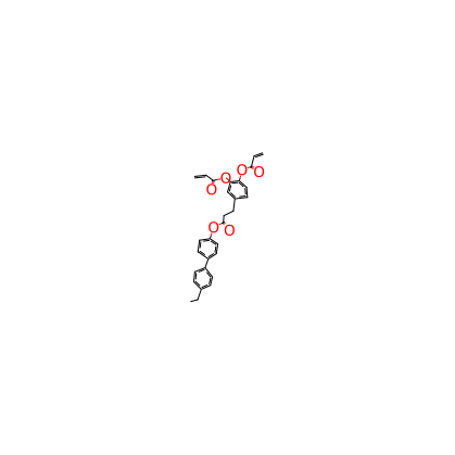 C=CC(=O)Oc1ccc(CCC(=O)Oc2ccc(-c3ccc(CC)cc3)cc2)cc1OC(=O)C=C